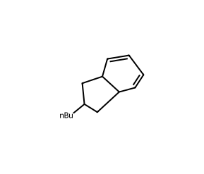 CCCCC1CC2C=CC=CC2C1